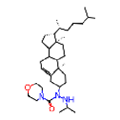 CC(C)CCC[C@@H](C)[C@H]1CCC2C3CC=C4CC(N(NC(C)C)C(=O)N5CCOCC5)CC[C@]4(C)C3CC[C@@]21C